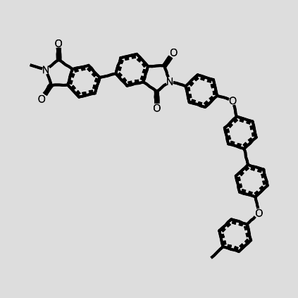 Cc1ccc(Oc2ccc(-c3ccc(Oc4ccc(N5C(=O)c6ccc(-c7ccc8c(c7)C(=O)N(C)C8=O)cc6C5=O)cc4)cc3)cc2)cc1